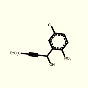 CCOC(=O)C#CC(O)c1cc(Cl)ccc1[N+](=O)[O-]